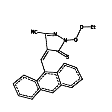 CCOON1N=C(C#N)/C(=C/c2c3ccccc3cc3ccccc23)C1=S